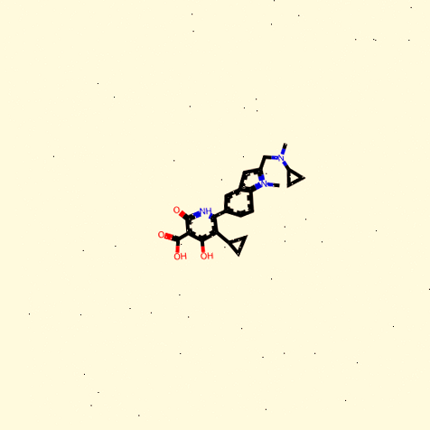 CN(Cc1cc2cc(-c3[nH]c(=O)c(C(=O)O)c(O)c3C3CC3)ccc2n1C)C1CC1